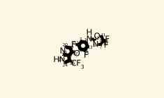 Fc1cc(NC2=NCC(F)(F)CO2)cc(F)c1Oc1ccnc2[nH]cc(C(F)(F)F)c12